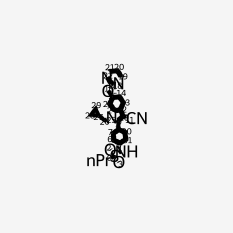 CCCS(=O)(=O)Nc1ccc(-c2c(C#N)c3ccc(Oc4ncccn4)cc3n2CC2CC2)cc1